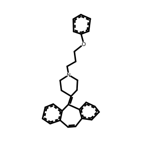 C1=Cc2ccccc2C(=C2CCN(CCCOc3ccccc3)CC2)c2ccccc21